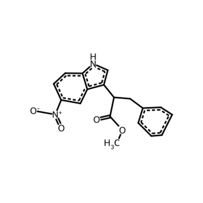 COC(=O)C(Cc1ccccc1)c1c[nH]c2ccc([N+](=O)[O-])cc12